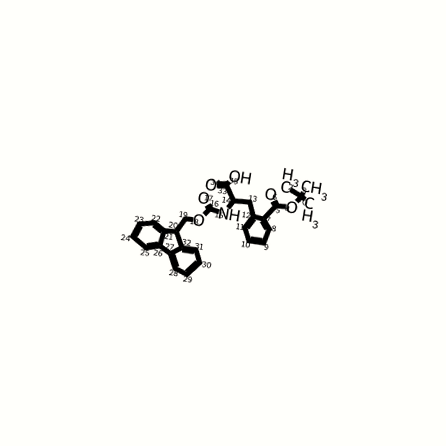 CC(C)(C)OC(=O)c1ccccc1CC(NC(=O)OCC1c2ccccc2-c2ccccc21)C(=O)O